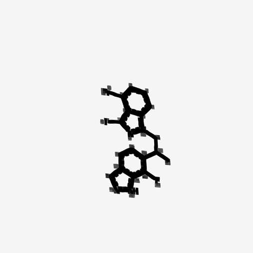 CC(C)c1cccc2c1c(F)nn2CC(C)c1ccc2cn[nH]c2c1F